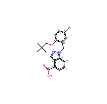 CC(C)(C)COc1ccc(Cl)cc1Cn1ncc2c(C(=O)O)cccc21